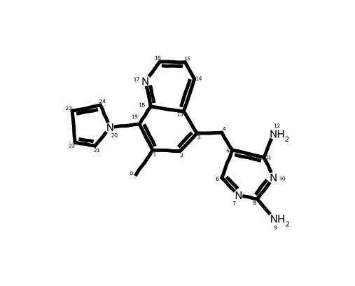 Cc1cc(Cc2cnc(N)nc2N)c2cccnc2c1-n1cccc1